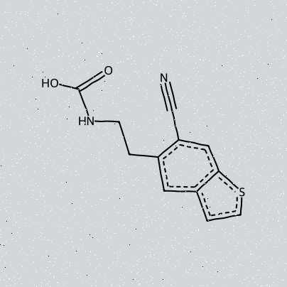 N#Cc1cc2sccc2cc1CCNC(=O)O